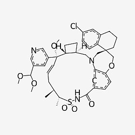 COC(OC)c1cncc([C@]2(OC)/C=C/C[C@H](C)[C@@H](C)S(=O)(=O)NC(=O)c3ccc4c(c3)N(C[C@@H]3CC[C@H]32)C[C@@]2(CCCc3cc(Cl)ccc32)CO4)c1